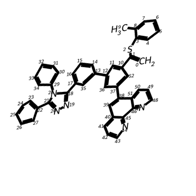 C=C(Sc1ccccc1C)c1cc(-c2cccc(-c3nnc(-c4ccccc4)n3-c3ccccc3)c2)cc(-c2cc3cccnc3c3ncccc23)c1